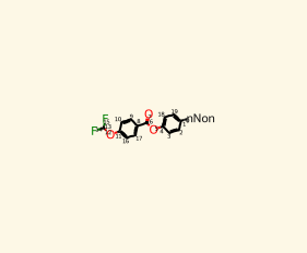 CCCCCCCCCc1ccc(OC(=O)c2ccc(OC(F)F)cc2)cc1